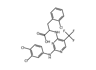 O=C(O)C(Cc1ccccc1Cl)Nc1nc(Nc2ccc(Cl)c(Cl)c2)ncc1C(F)(F)F